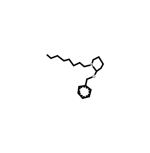 CCCCCCCCN1CCCCC1OCc1ccccc1